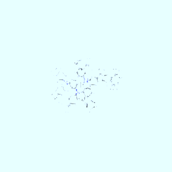 CC(C)(C)c1ccc(N(c2ccc(C(C)(C)C)cc2)c2ccc3c(c2)N(c2ccc(C(C)(C)C)cc2)c2c4c(cc5c2C(C)(C)c2ccccc2-5)-c2cc5c(cc2N(c2ccc6c(c2)C(C)(C)CCC6(C)C)B34)C(C)(C)c2cc3c(cc2-5)C(C)(C)CCC3(C)C)cc1